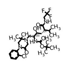 CC(C)[C@H](C[C@H](O)[C@H](CN1CC(=O)N(c2ccccc2Cl)CC1(C)C)NC(=O)OC(C)(C)C)C(=O)NCC(F)(F)F